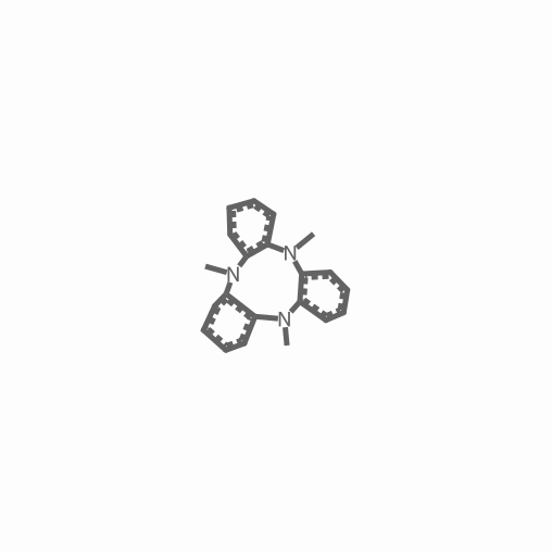 CN1c2ccccc2N(C)c2ccccc2N(C)c2ccccc21